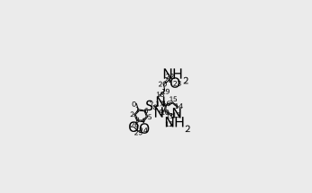 Cc1cc2c(cc1Sc1nc3c(N)nccc3n1CCCC(N)=O)OCO2